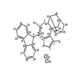 CC1=CC[C]([Zr+2](=[C](C)C)[CH]2c3ccccc3-c3ccccc32)=C1C12CC3CC(CC(C3)C1)C2.[Cl-].[Cl-]